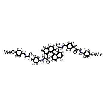 COc1ccc(/C=C/C(=O)Oc2ccc(/C=C/C(=O)Oc3ccc4ccccc4c3-c3c(OC(=O)/C=C/c4ccc(OC(=O)/C=C/c5ccc(OC)cc5)cc4)ccc4ccccc34)cc2)cc1